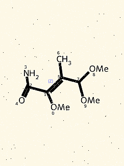 CO/C(C(N)=O)=C(/C)C(OC)OC